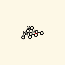 c1ccc(-c2ccc(N(c3ccc4ccccc4c3-c3ccccc3)c3cccc4oc5cc6nc(-c7ccccc7)sc6cc5c34)cc2)cc1